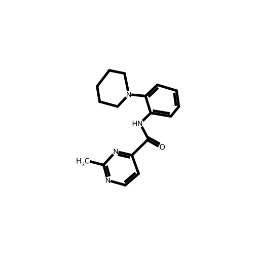 Cc1nccc(C(=O)Nc2ccccc2N2CCCCC2)n1